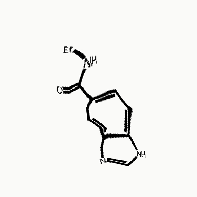 CCNC(=O)c1ccc2[nH]cnc2c1